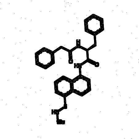 CC(C)(C)NSc1cccc2c(NC(=O)[C@H](Cc3ccccc3)NC(=O)Cc3ccccc3)cccc12